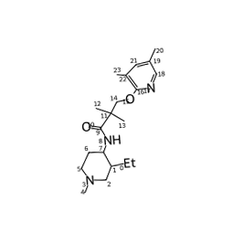 CCC1CN(C)CCC1NC(=O)C(C)(C)COc1ncc(C)cc1C